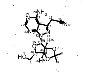 CC1(C)O[C@@H]2[C@H](O1)[C@@H](CO)O[C@H]2n1nc(CC#N)c2c(N)ncnc21